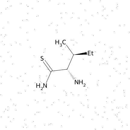 CC[C@H](C)[C@H](N)C(N)=S